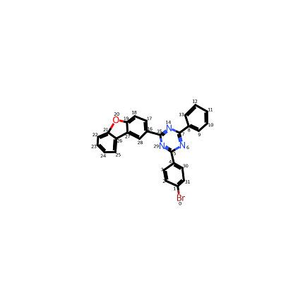 Brc1ccc(-c2nc(-c3ccccc3)nc(-c3ccc4oc5ccccc5c4c3)n2)cc1